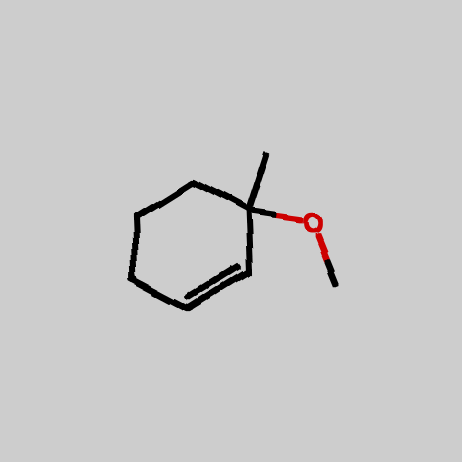 COC1(C)C=CCCC1